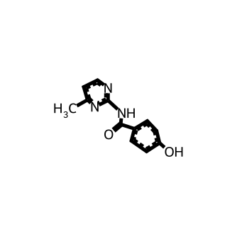 Cc1ccnc(NC(=O)c2ccc(O)cc2)n1